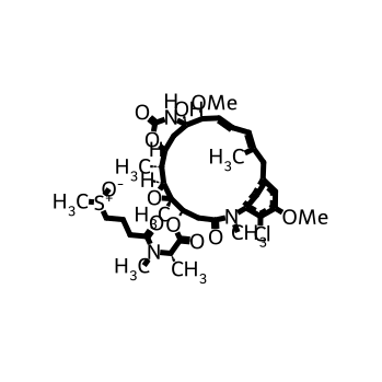 COc1cc2cc(c1Cl)N(C)C(=O)C[C@H](OC(=O)[C@H](C)N(C)C(=O)CCC[S+](C)[O-])[C@]1(C)O[C@H]1[C@H](C)[C@@H]1C[C@@](O)(NC(=O)O1)[C@H](OC)/C=C/C=C(\C)C2